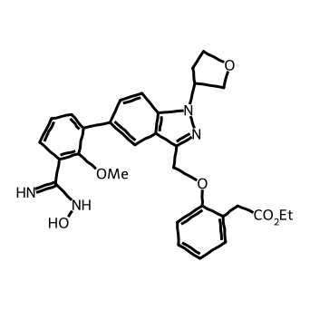 CCOC(=O)Cc1ccccc1OCc1nn(C2CCOC2)c2ccc(-c3cccc(C(=N)NO)c3OC)cc12